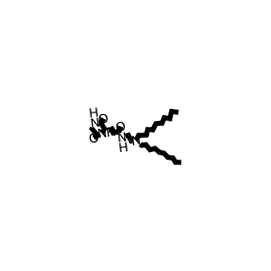 CCCCCCCCCCN(CCCCCCCCCC)CCNC(=O)C=C[C@@H]1NC(=O)CNC1=O